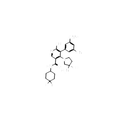 COc1cc(C#N)cc(-c2c(C)ncc(C(=O)NC3CCC(F)(F)CC3)c2N2CC[C@](C)(N)C2)c1